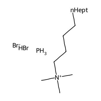 Br.CCCCCCCCCCC[N+](C)(C)C.P.[Br-]